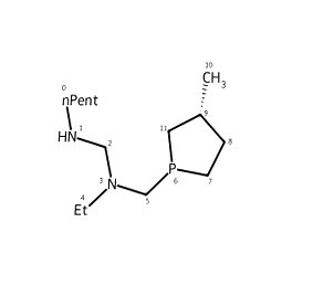 CCCCCNCN(CC)CP1CC[C@@H](C)C1